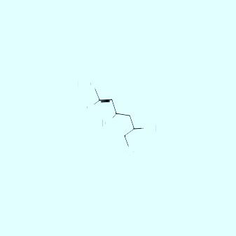 CC(C)=CC(O)CC(C)CO